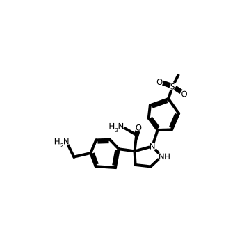 CS(=O)(=O)c1ccc(N2NCCC2(C(N)=O)c2ccc(CN)cc2)cc1